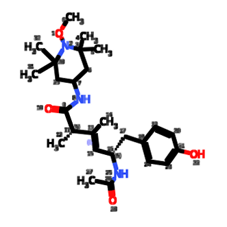 CON1C(C)(C)CC(NC(=O)[C@@H](C)/C(C)=C/[C@H](Cc2ccc(O)cc2)NC(C)=O)CC1(C)C